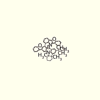 CC(C)(C)c1cc2c3c(c1)C1(C)CCCCC1(C)N3c1cc3c(oc4ccccc43)c3c1B2n1c2c-3cccc2c2oc3ccccc3c21